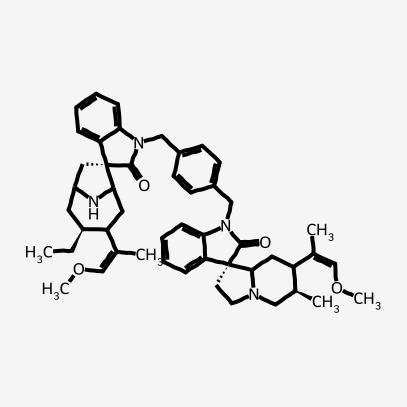 CC[C@H]1CC2C[C@]3(C(=O)N(Cc4ccc(CN5C(=O)[C@]6(CCN7C[C@H](C)C(/C(C)=C\OC)CC76)c6ccccc65)cc4)c4ccccc43)C(CC1/C(C)=C\OC)N2